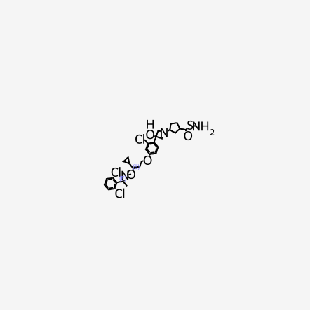 C/C(=N\O/C(=C/COc1ccc(C2(O)CN(C3CCC(C(=O)SN)C3)C2)c(Cl)c1)C1CC1)c1c(Cl)cccc1Cl